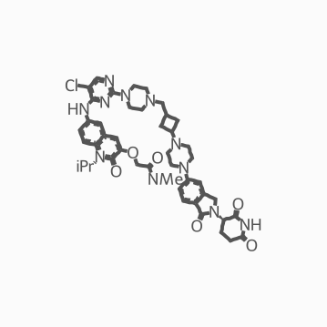 CNC(=O)COc1cc2cc(Nc3nc(N4CCN(CC5CC(N6CCN(c7ccc8c(c7)CN([C@@H]7CCC(=O)NC7=O)C8=O)CC6)C5)CC4)ncc3Cl)ccc2n(C(C)C)c1=O